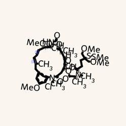 COCC(CCC(=O)N(C)[C@@H](C)C(=O)O[C@H]1CC(=O)N(C)c2cc(cc(OC)c2Cl)C/C(C)=C/C=C/[C@@H](OC)[C@@]2(O)C[C@H](OC(=O)N2)[C@@H](C)[C@@H]2O[C@@]12C)(COC)SSC